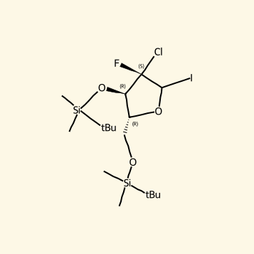 CC(C)(C)[Si](C)(C)OC[C@H]1OC(I)[C@@](F)(Cl)[C@@H]1O[Si](C)(C)C(C)(C)C